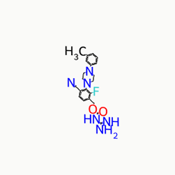 Cc1cccc(N2CCN(c3c(C#N)ccc(COC(=O)NC(=N)N)c3F)CC2)c1